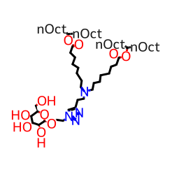 CCCCCCCCC(CCCCCCCC)OC(=O)CCCCCCCN(CCCCCCCC(=O)OC(CCCCCCCC)CCCCCCCC)CCc1cn(CCO[C@H]2O[C@H](CO)[C@@H](O)[C@H](O)[C@@H]2O)nn1